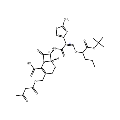 CCCC(O/N=C(\C(=O)N[C@@H]1C(=O)N2C(C(=O)O)=C(COC(=O)CC(C)=O)CS[C@@H]12)c1csc(N)n1)C(=O)OC(C)(C)C